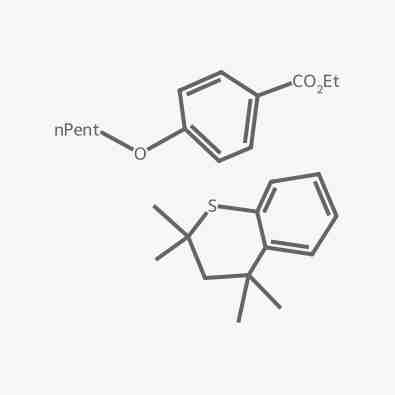 CC1(C)CC(C)(C)c2ccccc2S1.CCCCCOc1ccc(C(=O)OCC)cc1